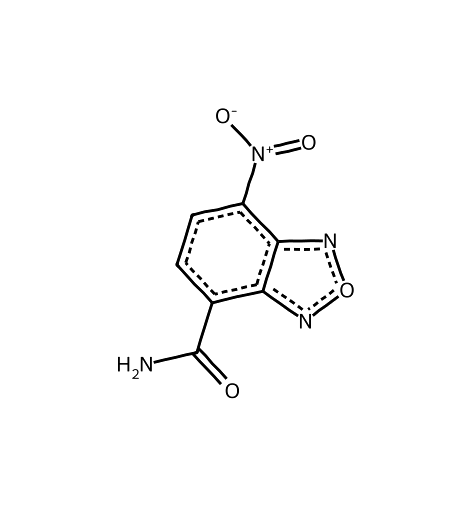 NC(=O)c1ccc([N+](=O)[O-])c2nonc12